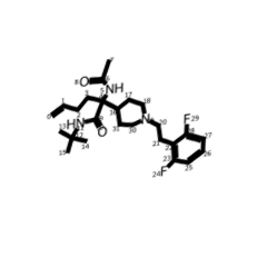 C=CCCC(NC(C)=O)(C(=O)NC(C)(C)C)C1CCN(CCc2c(F)cccc2F)CC1